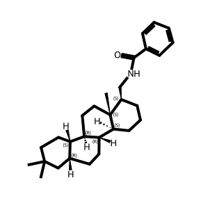 CC1(C)CC[C@H]2[C@H](CC[C@@H]3[C@@H]2CC[C@]2(C)[C@@H](CNC(=O)c4ccccc4)CCC[C@@H]32)C1